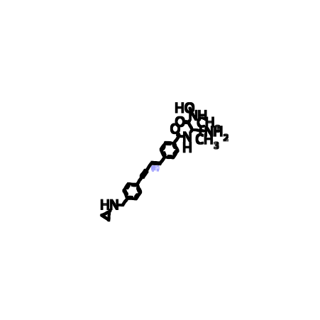 CC(C)(N)C(NC(=O)c1ccc(/C=C/C#Cc2ccc(CNC3CC3)cc2)cc1)C(=O)NO